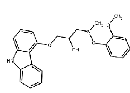 COc1ccccc1ON(C)CC(O)COc1cccc2[nH]c3ccccc3c12